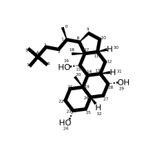 C[C@H](CCC(C)(C)C)[C@H]1CC[C@@H]2C[C@H]3C([C@H](O)[C@@]21C)[C@@]1(C)CC[C@@H](O)C[C@H]1C[C@H]3O